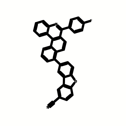 N#Cc1ccc2oc3ccc(-c4cccc5c4ccc4c(-c6ccc(F)cc6)nc6ccccc6c45)cc3c2c1